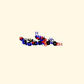 COc1cc(CN2CCN(C3CC4(CCN(c5ccc(C(=O)NS(=O)(=O)c6ccc(NC[C@H]7CC[C@](C)(O)CC7)c([N+](=O)[O-])c6)c(N6c7cc8cc[nH]c8nc7O[C@H]7COCC[C@@H]76)c5)CC4)C3)[C@H](c3cscc3C(C)C)C2)cnc1N1CCOCC1